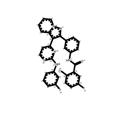 O=C(Nc1cccc(-c2nn3ccccc3c2-c2ccnc(Nc3cccc(F)c3)n2)c1)c1cc(F)ccc1Cl